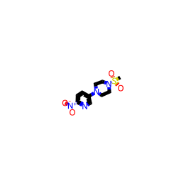 CS(=O)(=O)N1CCN(c2ccc([N+](=O)[O-])nc2)CC1